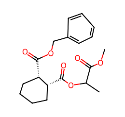 COC(=O)C(C)OC(=O)[C@@H]1CCCC[C@@H]1C(=O)OCc1ccccc1